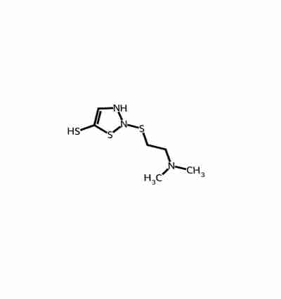 CN(C)CCSN1NC=C(S)S1